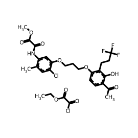 CCOC(=O)C(=O)Cl.COC(=O)C(=O)Nc1cc(OCCCOc2ccc(C(C)=O)c(O)c2CCC(F)(F)F)c(Cl)cc1C